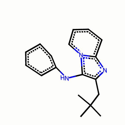 CC(C)(C)Cc1nc2ccccn2c1Nc1ccccc1